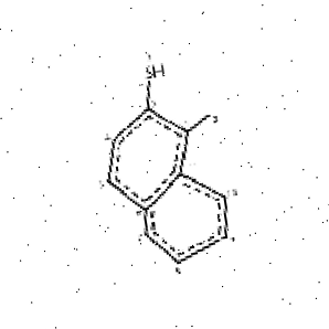 Cc1c(S)ccc2ccccc12